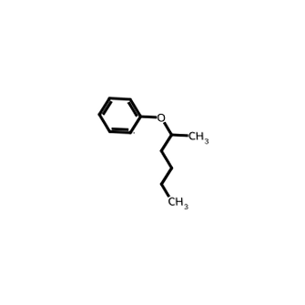 CCCCC(C)Oc1[c]cccc1